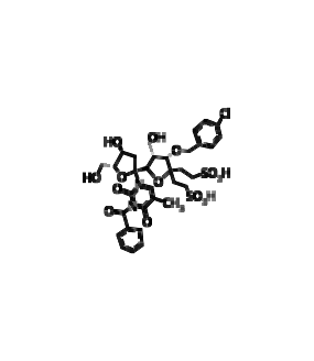 Cc1cn([C@@]2(C3OC(CCS(=O)(=O)O)(CCS(=O)(=O)O)[C@@H](OCc4ccc(Cl)cc4)[C@H]3CO)C[C@H](O)[C@@H](CO)O2)c(=O)n(C(=O)c2ccccc2)c1=O